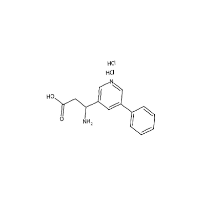 Cl.Cl.NC(CC(=O)O)c1cncc(-c2ccccc2)c1